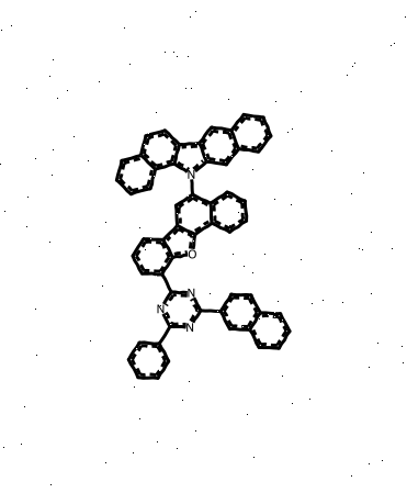 c1ccc(-c2nc(-c3ccc4ccccc4c3)nc(-c3cccc4c3oc3c5ccccc5c(-n5c6cc7ccccc7cc6c6ccc7ccccc7c65)cc43)n2)cc1